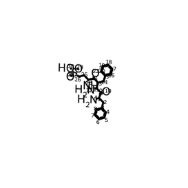 NC(Cc1ccccc1)C(=O)C(N)C(Cc1ccccc1)C(=O)C(N)CCS(=O)(=O)O